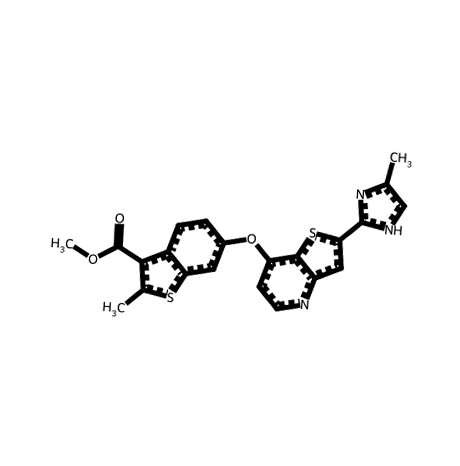 COC(=O)c1c(C)sc2cc(Oc3ccnc4cc(-c5nc(C)c[nH]5)sc34)ccc12